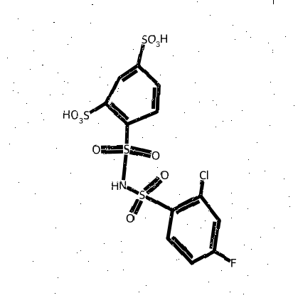 O=S(=O)(O)c1ccc(S(=O)(=O)NS(=O)(=O)c2ccc(F)cc2Cl)c(S(=O)(=O)O)c1